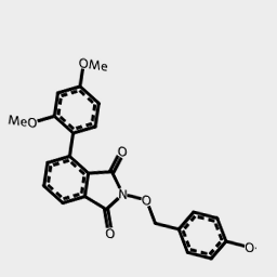 COc1ccc(-c2cccc3c2C(=O)N(OCc2ccc([O])cc2)C3=O)c(OC)c1